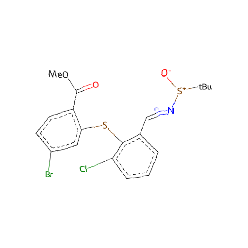 COC(=O)c1ccc(Br)cc1Sc1c(Cl)cccc1/C=N/[S+]([O-])C(C)(C)C